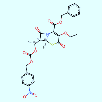 CCOC1=C(C(=O)OCc2ccccc2)N2C(=O)[C@H]([C@@H](C)OC(=O)OCc3ccc([N+](=O)[O-])cc3)[C@@H]2SC1=O